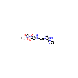 CN1C(=O)CCC(N2C(=O)c3ccc(NCCCC4CC(N/C=C(\C(=N)C5CC5)c5cnc6ccccc6n5)C4)cc3C2=O)C1=O